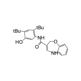 CC(C)(C)c1cc(C(C)(C)C)c(NC(=O)C2=CNc3ccccc3OC2)cc1O